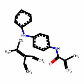 C=C(C)C(=O)Nc1ccc(Nc2ccccc2)cc1.C=CC(C=C)=C(C)C#N